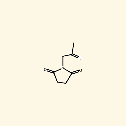 CC(=O)CN1C(=O)CCC1=O